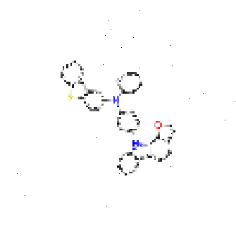 c1ccc(N(c2ccc(-n3c4ccccc4c4ccc5ccoc5c43)cc2)c2ccc3sc4ccccc4c3c2)cc1